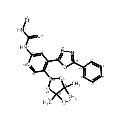 CCNC(=O)Nc1cc(-c2nnc(-c3ccccc3)o2)c(B2OC(C)(C)C(C)(C)O2)cn1